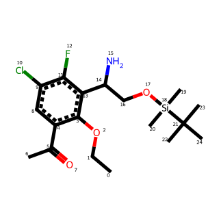 CCOc1c(C(C)=O)cc(Cl)c(F)c1C(N)CO[Si](C)(C)C(C)(C)C